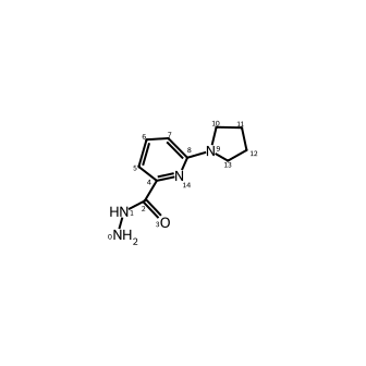 NNC(=O)c1cccc(N2CCCC2)n1